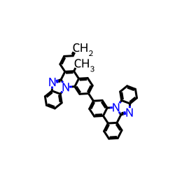 C=C/C=C\c1c(C)c2ccc(-c3ccc4c5ccccc5c5nc6ccccc6n5c4c3)cc2n2c1nc1ccccc12